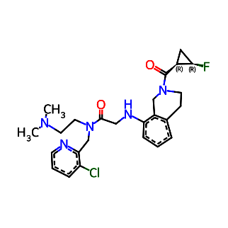 CN(C)CCN(Cc1ncccc1Cl)C(=O)CNc1cccc2c1CN(C(=O)[C@H]1C[C@H]1F)CC2